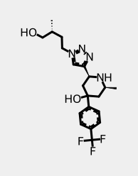 C[C@@H](CO)CCn1cc([C@@H]2CC(O)(c3ccc(C(F)(F)F)cc3)C[C@H](C)N2)nn1